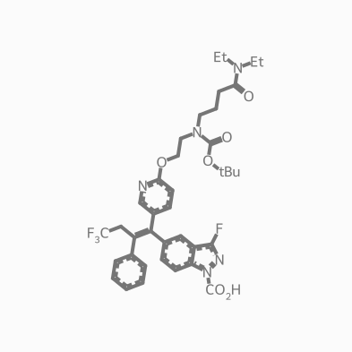 CCN(CC)C(=O)CCCN(CCOc1ccc(C(=C(CC(F)(F)F)c2ccccc2)c2ccc3c(c2)c(F)nn3C(=O)O)cn1)C(=O)OC(C)(C)C